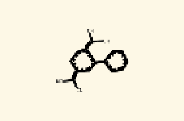 N#CC(C#N)=c1ccc(=C(C#N)C#N)c(-c2ccccc2)c1